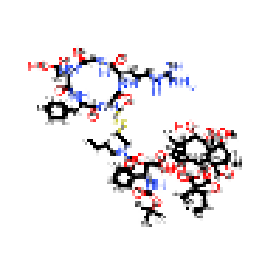 CCCCN(CCSSC[C@@H]1NC(=O)[C@@H](Cc2ccccc2)NC(=O)[C@H](CC(=O)O)NC(=O)CNC(=O)[C@H](CCCNC(=N)N)NC1=O)C(=O)O[C@@H](C(=O)O[C@H]1C[C@@]2(O)[C@@H](OC(=O)c3ccccc3)[C@@H]3[C@]4(OC(C)=O)CO[C@@H]4C[C@H](OC)[C@@]3(C)C(=O)[C@H](O)C(=C1C)C2(C)C)[C@@H](NC(=O)OC(C)(C)C)c1ccccc1